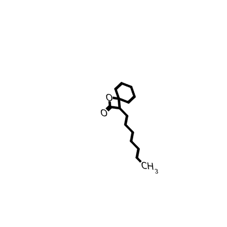 CCCCCCCC1C(=O)OC12CCCCC2